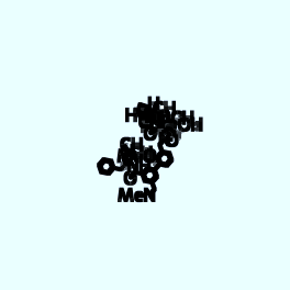 CNCc1cc(C(=O)N[C@@H](Cc2ccccc2)CN(C)C)cc(-c2cccc(CN3O[C@@H](CO)[C@@H]([C@H](C)O)[C@H]3C(=O)N[C@H]3C[C@H]4C[C@@H]([C@@H]3C)C4(C)C)c2OC)c1